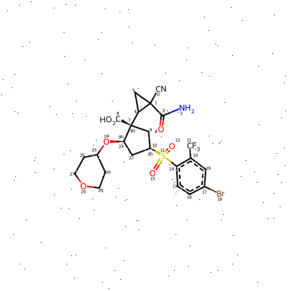 N#CC1(C(N)=O)CC1[C@]1(C(=O)O)C[C@@H](S(=O)(=O)c2ccc(Br)cc2C(F)(F)F)C[C@H]1OC1CCOCC1